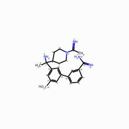 CC(=N)N1CCC(C(C)(N)c2cc(C(=O)O)cc(-c3cccc(C(=N)N)c3)c2)CC1